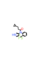 O=C(CCC1CC1)N(c1cc[nH]c1)c1ccccc1C(F)(F)F